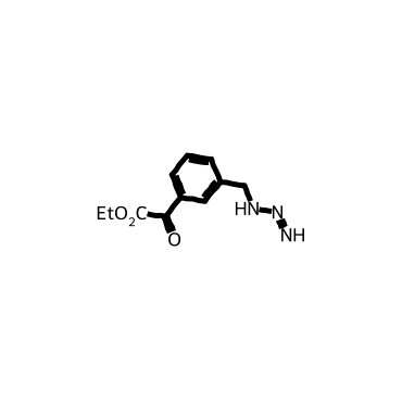 CCOC(=O)C(=O)c1cccc(CNN=N)c1